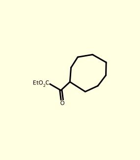 CCOC(=O)C(=O)C1CCCCCCC1